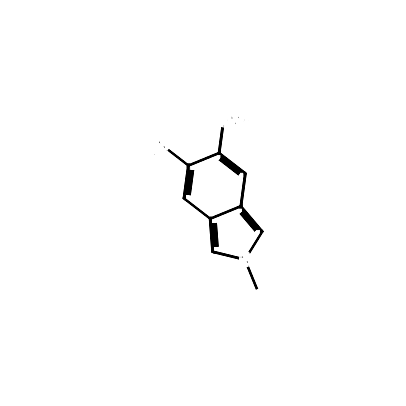 COc1cc2cn(C)cc2cc1N